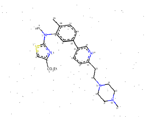 CCCN(c1nc(C(=O)OCC)cs1)c1cc(-c2ccc(CCN3CCN(C)CC3)nc2)ccc1C